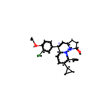 CCOc1ccc(/C(=C/[C@H]2CCC(=O)N2)c2ccc(C3CC3)c(OC)n2)cc1Cl